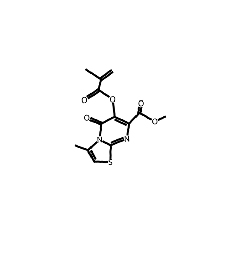 C=C(C)C(=O)Oc1c(C(=O)OC)nc2scc(C)n2c1=O